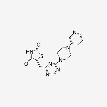 O=C1NC(=O)C(=Cc2ncnc(N3CCN(c4cccnc4)CC3)n2)S1